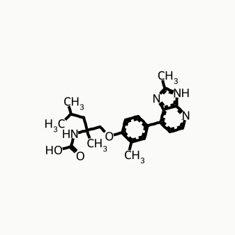 Cc1nc2c(-c3ccc(OCC(C)(CC(C)C)NC(=O)O)c(C)c3)ccnc2[nH]1